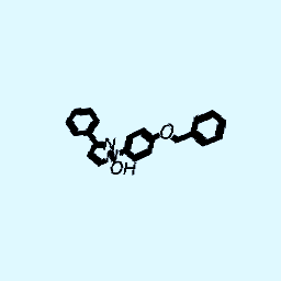 O[N+]1(c2ccc(OCc3ccccc3)cc2)C=CC(c2ccccc2)=N1